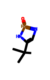 CC(C)(C)C1=CN=[SH](=O)N1